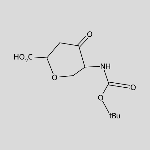 CC(C)(C)OC(=O)NC1COC(C(=O)O)CC1=O